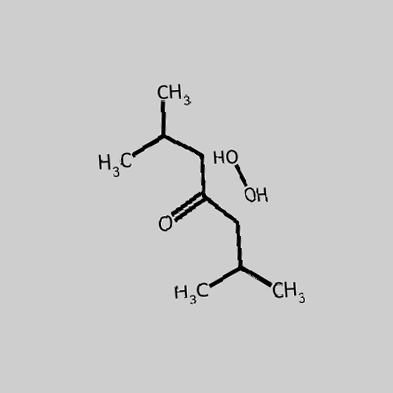 CC(C)CC(=O)CC(C)C.OO